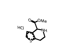 COC(=O)C1NCCc2sccc21.Cl